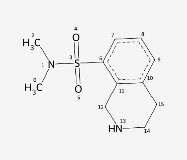 CN(C)S(=O)(=O)c1cccc2c1CNCC2